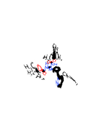 Cc1cccnc1-c1cccc(N=C(NC(=O)OC(C)(C)C)NC(=O)OC(C)(C)C)c1